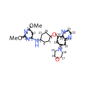 COc1cc(NC2CCC(Oc3cc(N4CCOCC4)cc4nccnc34)CC2)nc(OC)n1